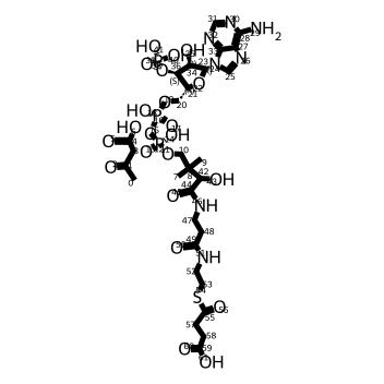 CC(=O)CC(=O)O.CC(C)(COP(=O)(O)OP(=O)(O)OC[C@H]1O[C@@H](n2cnc3c(N)ncnc32)[C@H](O)[C@@H]1OP(=O)(O)O)C(O)C(=O)NCCC(=O)NCCSC(=O)CCC(=O)O